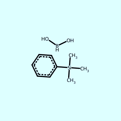 C[Si](C)(C)c1ccccc1.OBO